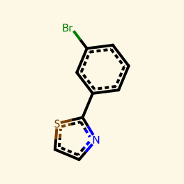 Brc1cccc(-c2nccs2)c1